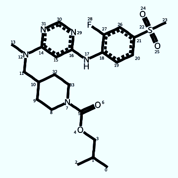 CC(C)COC(=O)N1CCC(CN(C)c2cc(Nc3ccc(S(C)(=O)=O)cc3F)ncn2)CC1